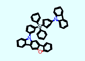 c1ccc([Si](c2ccccc2)(c2ccc(-n3c4ccccc4c4ccccc43)cc2)c2cccc(-n3c4ccccc4c4cc5oc6ccccc6c5cc43)c2)cc1